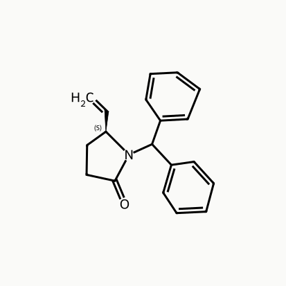 C=C[C@@H]1CCC(=O)N1C(c1ccccc1)c1ccccc1